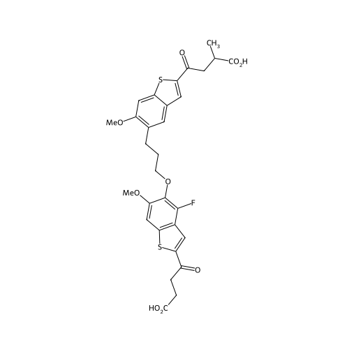 COc1cc2sc(C(=O)CC(C)C(=O)O)cc2cc1CCCOc1c(OC)cc2sc(C(=O)CCC(=O)O)cc2c1F